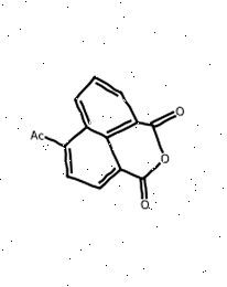 CC(=O)c1ccc2c3c(cccc13)C(=O)OC2=O